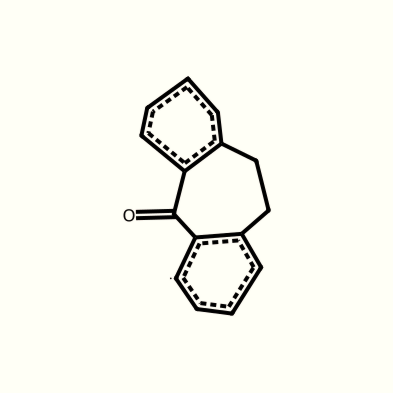 O=C1c2[c]cccc2CCc2ccccc21